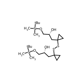 CC(C)(C)[Si](C)(C)OC[C@H](O)CC1(SSC2(C[C@@H](O)CO[Si](C)(C)C(C)(C)C)CC2)CC1